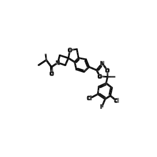 CC(C)C(=O)N1CC2(C1)OCc1cc(C3=NOC(C)(c4cc(Cl)c(F)c(Cl)c4)O3)ccc12